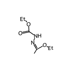 CCOC(=O)NN=C(C)OCC